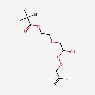 C=C(C)COOC(O)COCCOC(=O)C(C)(C)CC